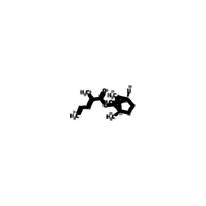 C=CC=C(C)C(=O)OC1C[C@H]2CC[C@@]1(C)C2(C)C